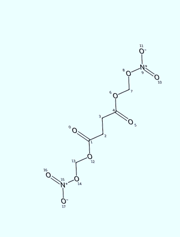 O=C(CCC(=O)OCO[N+](=O)[O-])OCO[N+](=O)[O-]